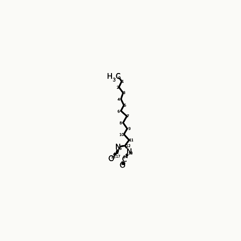 CCCCCCCCCCCCC(N=C=O)N=C=O